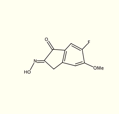 COc1cc2c(cc1F)C(=O)/C(=N/O)C2